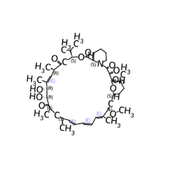 CO[C@H]1C[C@@H]2CC[C@@H](C)[C@@](O)(O2)C(=O)C(=O)N2CCCC[C@H]2C(=O)O[C@H](C(C)C)CC(=O)[C@H](C)/C=C(\C)[C@@H](O)[C@@H](O)C(=O)[C@H](C)C[C@H](C)/C=C/C=C/C=C/1C